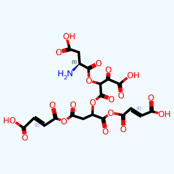 N[C@@H](CC(=O)O)C(=O)OC(C(=O)OC(CC(=O)OC(=O)/C=C/C(=O)O)C(=O)OC(=O)/C=C/C(=O)O)C(=O)C(=O)O